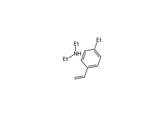 C=Cc1ccc(CC)cc1.CCNCC